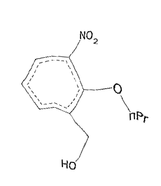 CCCOc1c(CO)cccc1[N+](=O)[O-]